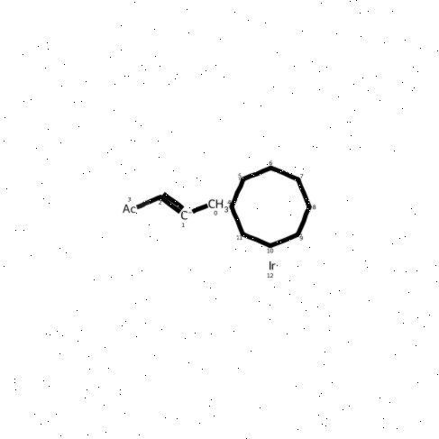 C[C-]=CC(C)=O.[CH]1[CH]CC[CH][CH]CC1.[Ir]